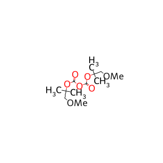 COCC(C)(C)OC(=O)OC(=O)OC(C)(C)COC